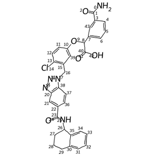 NC(=O)c1cccc(C(Oc2ccc(Cl)c(Cn3nnc4cc(C(=O)NC5CCCc6ccccc65)ccc43)c2)C(=O)O)c1